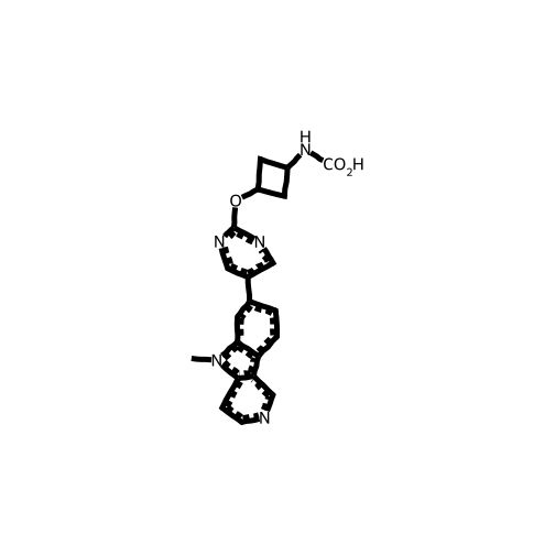 Cn1c2ccncc2c2ccc(-c3cnc(OC4CC(NC(=O)O)C4)nc3)cc21